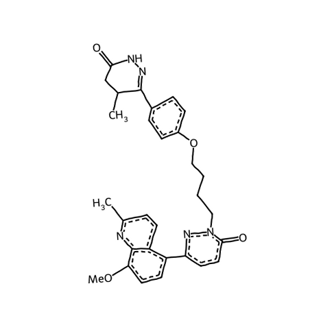 COc1ccc(-c2ccc(=O)n(CCCCOc3ccc(C4=NNC(=O)CC4C)cc3)n2)c2ccc(C)nc12